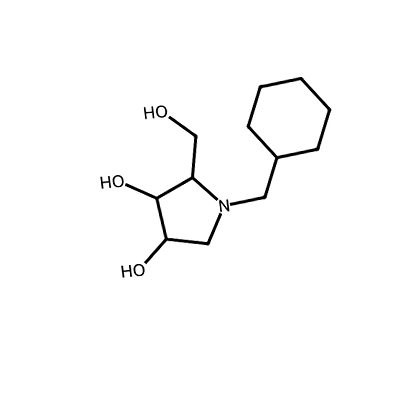 OCC1C(O)C(O)CN1CC1CCCCC1